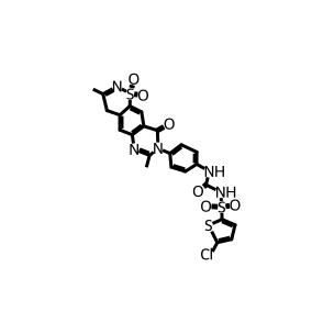 CC1=NS(=O)(=O)c2cc3c(=O)n(-c4ccc(NC(=O)NS(=O)(=O)c5ccc(Cl)s5)cc4)c(C)nc3cc2C1